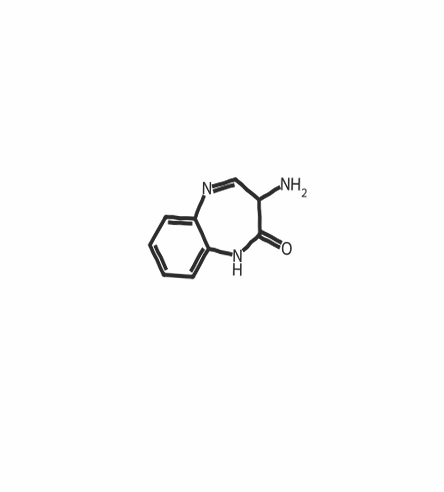 NC1C=Nc2ccccc2NC1=O